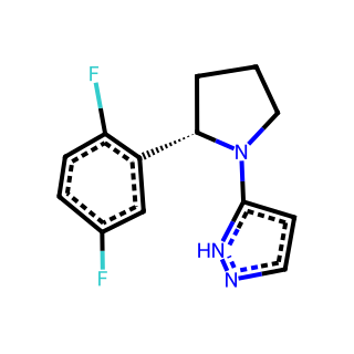 Fc1ccc(F)c([C@@H]2CCCN2c2ccn[nH]2)c1